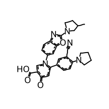 CC1CCN(c2nc3ccc(-n4cc(C(=O)O)c(=O)cc4-c4ccc(N5CCCC5)c(C#N)c4)cc3o2)C1